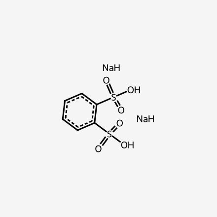 O=S(=O)(O)c1ccccc1S(=O)(=O)O.[NaH].[NaH]